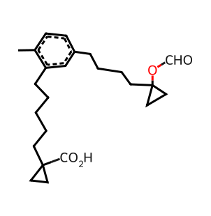 Cc1ccc(CCCCC2(OC=O)CC2)cc1CCCCCC1(C(=O)O)CC1